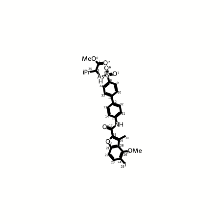 COC(=O)C([AsH]S(=O)(=O)c1ccc(-c2ccc(NC(=O)c3oc4ccc(I)c(OC)c4c3C)cc2)cc1)C(C)C